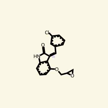 O=C1Nc2cccc(OCC3CO3)c2/C1=C/c1cccc(Cl)c1